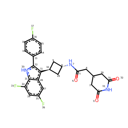 O=C1CC(CC(=O)N[C@H]2C[C@H](c3c(-c4ccc(F)cc4)[nH]c4c(F)cc(F)cc43)C2)CC(=O)N1